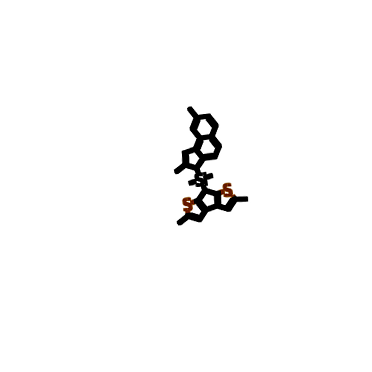 CC1=Cc2c(ccc3ccc(C)cc23)C1[Si](C)(C)C1c2sc(C)cc2-c2cc(C)sc21